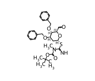 CN(C(=N)S[C@@H]1C[C@@H](OCc2ccccc2)[C@H](OCc2ccccc2)[C@@H](C=O)O1)C(=O)OC(C)(C)C